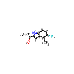 COC(=O)c1cc2c(C(F)(F)F)c(F)ccc2[nH]1